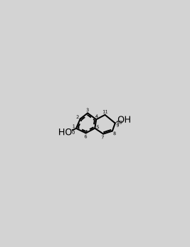 Oc1ccc2c(c1)C=C[C@@H](O)C2